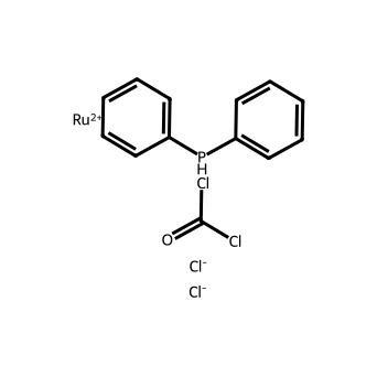 O=C(Cl)Cl.[Cl-].[Cl-].[Ru+2].c1ccc(Pc2ccccc2)cc1